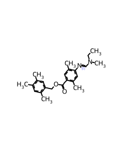 CCN(C)/C=N/c1cc(C)c(C(=O)OCc2cc(C)c(C)cc2C)cc1C